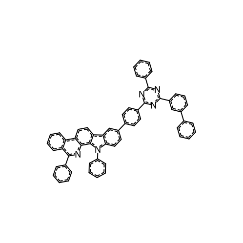 c1ccc(-c2cccc(-c3nc(-c4ccccc4)nc(-c4ccc(-c5ccc6c(c5)c5ccc7c8ccccc8c(-c8ccccc8)nc7c5n6-c5ccccc5)cc4)n3)c2)cc1